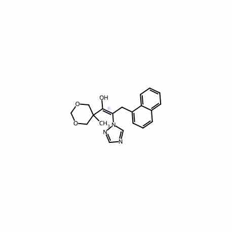 CC1(/C(O)=C(/Cc2cccc3ccccc23)n2cncn2)COCOC1